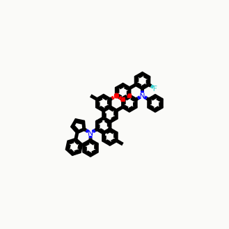 Cc1ccc2c(N(c3ccccc3)C3C=CC=C3c3ccccc3)cc3c4cc(C)cc5c4c(cc3c2c1)-c1ccc(N(c2ccccc2)c2c(F)cccc2-c2ccccc2)cc1O5